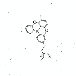 Cc1ccc2c3c1Oc1ccccc1B3c1ccc(CCC3(C=S)C4CC43)cc1O2